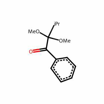 COC(OC)(C(=O)c1ccccc1)C(C)C